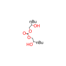 CCCCC(O)COC(=O)OCC(O)CCCC